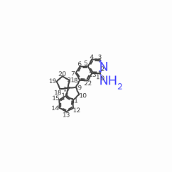 Nc1nccc2ccc(C3Cc4ccccc4C34CCCC4)cc12